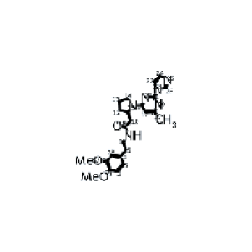 COc1ccc(CCNC(=O)CC2CCCN2c2cc(C)nc(-n3ccnc3)n2)cc1OC